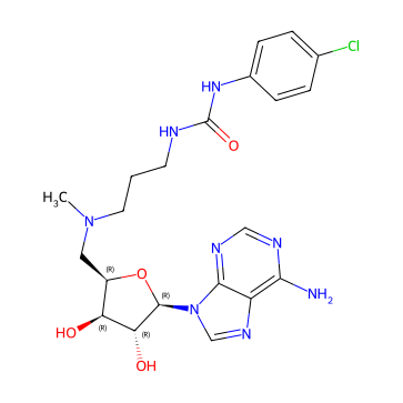 CN(CCCNC(=O)Nc1ccc(Cl)cc1)C[C@H]1O[C@@H](n2cnc3c(N)ncnc32)[C@H](O)[C@H]1O